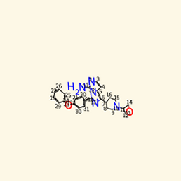 Nc1nccc2c(C3CCN(C4COC4)CC3)nc(-c3ccc(Oc4ccccc4)cc3)n12